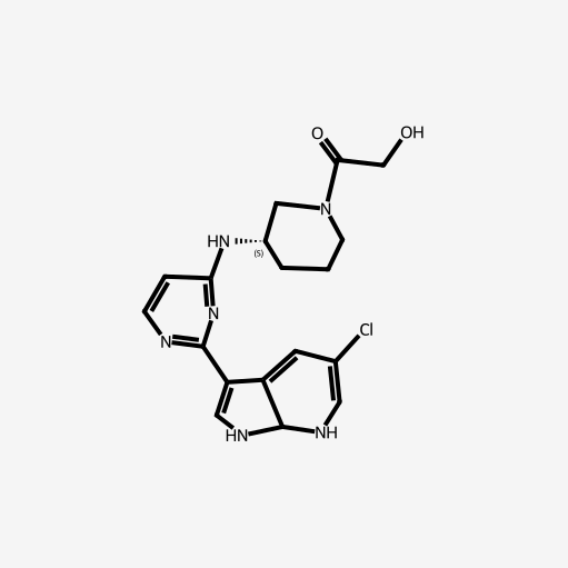 O=C(CO)N1CCC[C@H](Nc2ccnc(C3=CNC4NC=C(Cl)C=C34)n2)C1